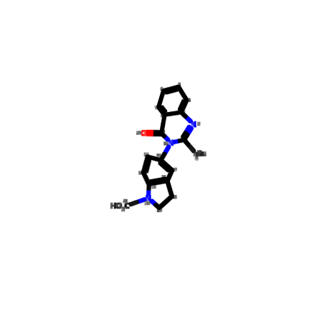 CCCCc1nc2ccccc2c(=O)n1-c1ccc2c(c1)CCN2C(=O)O